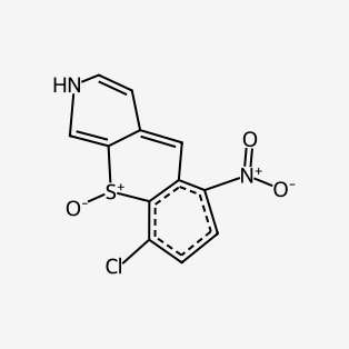 O=[N+]([O-])c1ccc(Cl)c2c1C=C1C=CNC=C1[S+]2[O-]